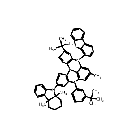 Cc1cc2c3c(c1)N(c1cccc4c1sc1ccccc14)c1cc(C(C)(C)C)ccc1B3c1ccc(N3c4ccccc4C4(C)CCCCC34C)cc1N2c1cccc(C(C)(C)C)c1